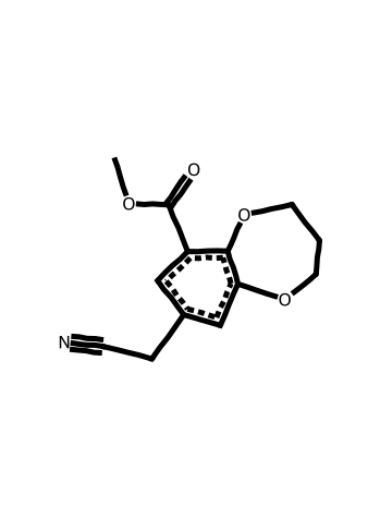 COC(=O)c1cc(CC#N)cc2c1OCCCO2